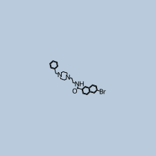 O=C(NCCN1CCN(Cc2ccccc2)CC1)c1ccc2cc(Br)ccc2c1